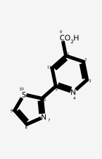 O=C(O)c1ccnc(-c2nccs2)c1